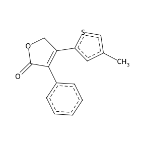 Cc1csc(C2=C(c3ccccc3)C(=O)OC2)c1